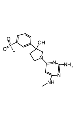 CNc1cc(N2CCC(O)(c3cccc(S(=O)(=O)F)c3)C2)nc(N)n1